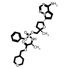 C[C@H](NP(=O)(OC[C@]1(C)CC[C@H](c2ccc3c(N)ncnn23)O1)Oc1ccccc1)C(=O)OCC1CCOCC1